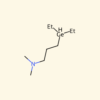 C[CH2][GeH]([CH2]C)[CH2]CCN(C)C